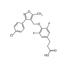 Cc1onc(-c2ccc(Cl)cc2)c1COc1c(F)cc(CCC(=O)O)cc1F